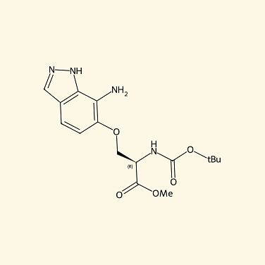 COC(=O)[C@@H](COc1ccc2cn[nH]c2c1N)NC(=O)OC(C)(C)C